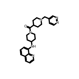 O=C(C1CCN(Cc2ccnnc2)CC1)N1CCC(Nc2cccc3cccnc23)CC1